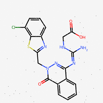 NC(=Nc1nn(Cc2nc3cccc(Cl)c3s2)c(=O)c2ccccc12)NCC(=O)O